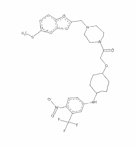 COc1ccc2oc(CN3CCN(C(=O)COC4CCC(Nc5ccc([N+](=O)[O-])c(C(F)(F)F)c5)CC4)CC3)cc2c1